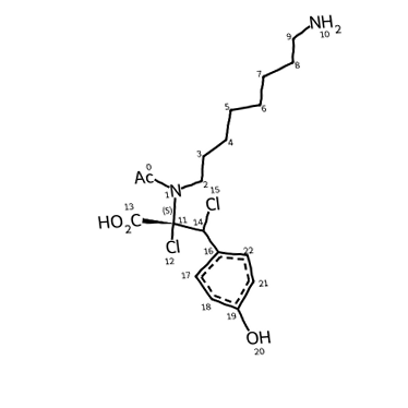 CC(=O)N(CCCCCCCCN)[C@](Cl)(C(=O)O)C(Cl)c1ccc(O)cc1